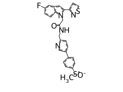 C[S+]([O-])c1ccc(-c2ccc(CNC(=O)Cn3c(-c4ccsn4)cc4cc(F)ccc43)nc2)cc1